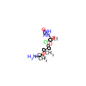 CCOc1cc(O[C@H]2CCc3c(-c4cccc(OCCC(C)(C)CCN)c4C)cccc32)c(Cl)cc1CNC[C@@H]1CCC(=O)N1